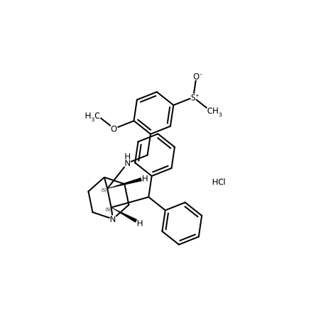 COc1ccc([S+](C)[O-])cc1CN[C@H]1C2CCN(CC2)[C@H]1C(c1ccccc1)c1ccccc1.Cl